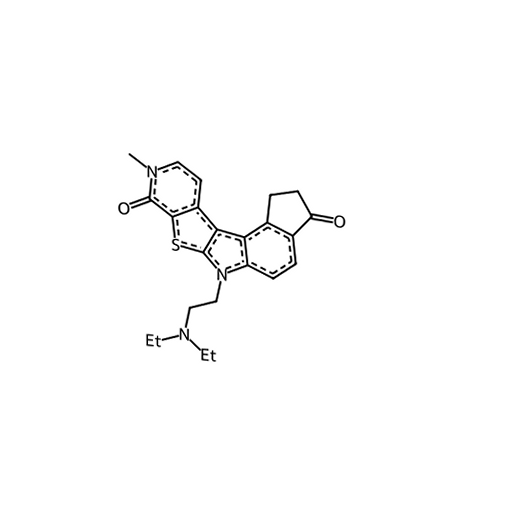 CCN(CC)CCn1c2ccc3c(c2c2c4ccn(C)c(=O)c4sc21)CCC3=O